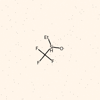 [CH2]C[SiH]([O])C(F)(F)F